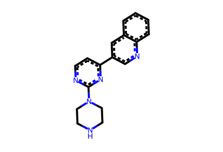 c1ccc2ncc(-c3ccnc(N4CCNCC4)n3)cc2c1